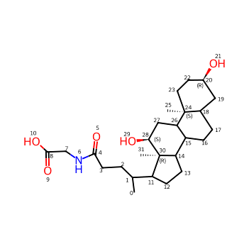 CC(CCC(=O)NCC(=O)O)C1CCC2C3CCC4C[C@H](O)CC[C@]4(C)C3C[C@H](O)[C@]12C